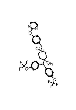 [O-][N+]1(Cc2ccc(Oc3ncccn3)cc2)CCC(O)(C(c2ccc(OC(F)(F)F)cc2)c2ccc(OC(F)(F)F)cc2)CC1